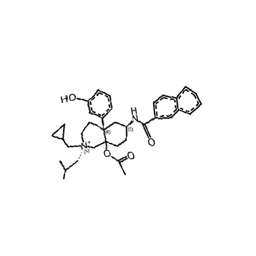 CC(=O)OC12CC[C@H](NC(=O)c3ccc4ccccc4c3)C[C@@]1(c1cccc(O)c1)CC[N@+](CC(C)C)(CC1CC1)C2